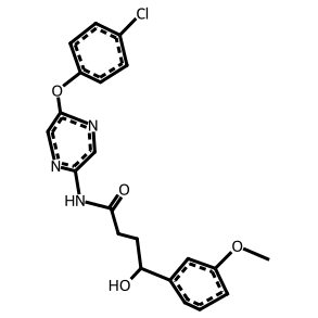 COc1cccc(C(O)CCC(=O)Nc2cnc(Oc3ccc(Cl)cc3)cn2)c1